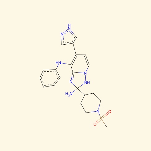 CS(=O)(=O)N1CCC(C2(N)N=C3C(Nc4ccccc4)=C(c4cn[nH]c4)C=CN3N2)CC1